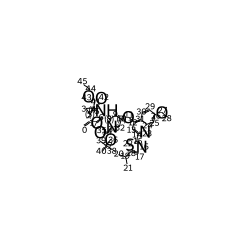 C=C[C@@H]1C[C@]1(NC(=O)[C@@H]1C[C@@H](Oc2cc(-c3ncc(C(C)C)s3)nc3cc(OC)ccc23)CN1C(=O)OC(C)(C)C)C(=O)OCC